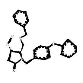 CC(=O)S[C@H]1CC(=O)N(Cc2ccc(Oc3ccccc3)cc2)[C@@H]1COCc1ccccc1